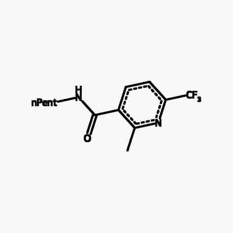 CCCCCNC(=O)c1ccc(C(F)(F)F)nc1C